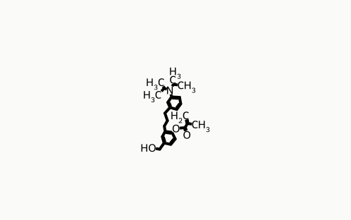 C=C(C)C(=O)Oc1ccc(CO)cc1CCCc1cccc(N(C(C)C)C(C)C)c1